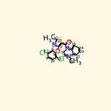 Cc1nc(Oc2cc(Cl)ccc2Cl)c(C(=O)N2CCN(C)c3ccccc32)s1